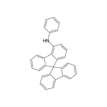 c1ccc(Nc2cccc3c2-c2ccccc2C32c3ccccc3-c3ccccc32)cc1